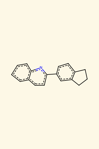 c1ccc2nc(-c3ccc4c(c3)CCC4)ccc2c1